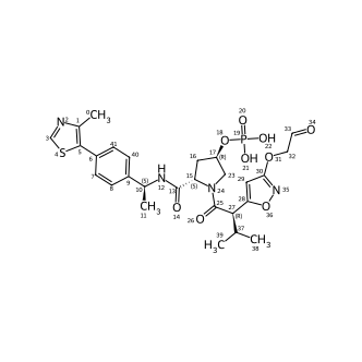 Cc1ncsc1-c1ccc([C@H](C)NC(=O)[C@@H]2C[C@@H](OP(=O)(O)O)CN2C(=O)[C@@H](c2cc(OCC=O)no2)C(C)C)cc1